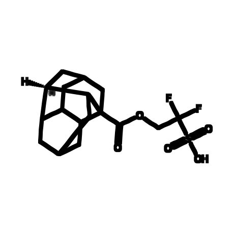 O=C(OCC(F)(F)S(=O)(=O)O)C12CC3CC4C5CC(CC41)CC2[C@@H]5C3